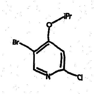 CC(C)Oc1cc(Cl)ncc1Br